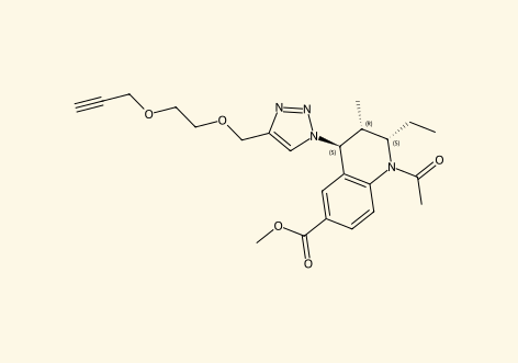 C#CCOCCOCc1cn([C@@H]2c3cc(C(=O)OC)ccc3N(C(C)=O)[C@@H](CC)[C@H]2C)nn1